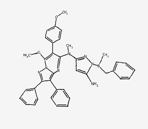 COc1ccc(-c2c(N(C)c3cc(N)n(B(C)Cc4ccccc4)n3)nc3c(-c4ccccc4)c(-c4ccccc4)nn3c2OC)cc1